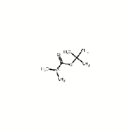 C[N+](C)C(=O)OC(C)(C)C